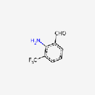 Nc1c(C=O)cccc1C(F)(F)F